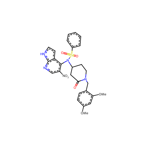 COc1ccc(CN2CCC(N(c3c([N+](=O)[O-])cnc4[nH]ccc34)S(=O)(=O)c3ccccc3)CC2=O)c(OC)c1